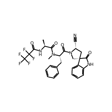 C[C@H](NC(=O)C(F)(F)C(F)(F)F)C(=O)N(C)[C@@H](Cc1ccccc1)C(=O)N1C[C@]2(C[C@H]1C#N)C(=O)Nc1ccccc12